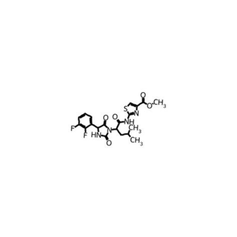 COC(=O)c1csc(NC(=O)C(CC(C)C)N2C(=O)NC(c3cccc(F)c3F)C2=O)n1